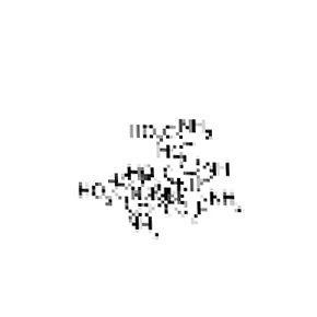 CC(O)C(N)C(=O)O.NC(=O)CC(N)C(=O)O.NC(Cc1c[nH]c2ccccc12)C(=O)O.O=C(O)[C@@H]1CCCN1.O=C(O)[C@@H]1CCCN1